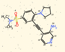 CN(C)S(=O)(=O)c1ccc(N2CCCC2)c(C#Cc2ccncc2N)c1